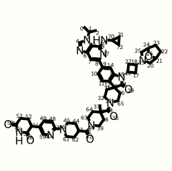 CC(C)n1cnc2cc(-c3ccc4c(c3)N([C@H]3C[C@@H](N5CC6CCC(C5)O6)C3)C(=O)C43CCN(C(=O)C4(C)CCN(C(=O)C5CCN(c6ccc(C7CCC(=O)NC7=O)cn6)CC5)CC4)CC3)nc(NC3CC3)c21